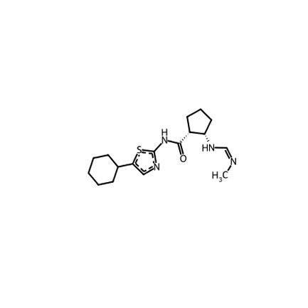 C/N=C\N[C@H]1CCC[C@H]1C(=O)Nc1ncc(C2CCCCC2)s1